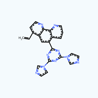 C=Cc1ccnc2c1cc(-c1nc(-n3ccnc3)nc(-n3ccnc3)n1)c1cccnc12